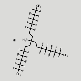 FC(F)(F)C(F)(F)C(F)(F)C(F)(F)C(F)(F)C(F)(F)CCC(P)(CCC(F)(F)C(F)(F)C(F)(F)C(F)(F)C(F)(F)C(F)(F)F)CCC(F)(F)C(F)(F)C(F)(F)C(F)(F)C(F)(F)C(F)(F)F.I